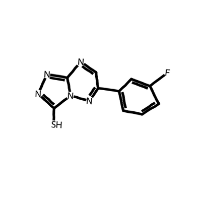 Fc1cccc(-c2cnc3nnc(S)n3n2)c1